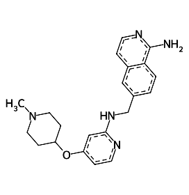 CN1CCC(Oc2ccnc(NCc3ccc4c(N)nccc4c3)c2)CC1